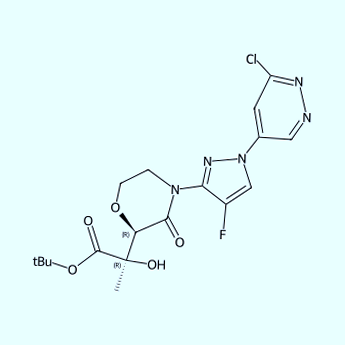 CC(C)(C)OC(=O)[C@](C)(O)[C@H]1OCCN(c2nn(-c3cnnc(Cl)c3)cc2F)C1=O